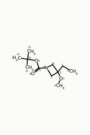 CCC1(OC)CN(C(=O)OC(C)(C)C)C1